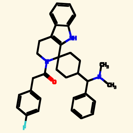 CN(C)C(c1ccccc1)C1CCC2(CC1)c1[nH]c3ccccc3c1CCN2C(=O)Cc1ccc(F)cc1